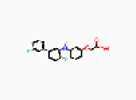 CN(c1cccc(OCC(=O)O)c1)c1cc(-c2cccc(F)c2)ccc1F